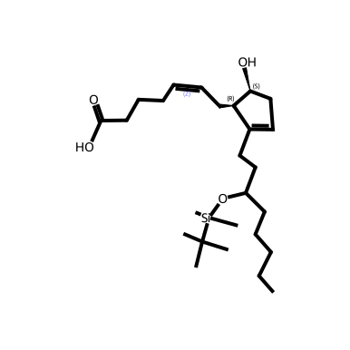 CCCCCC(CCC1=CC[C@H](O)[C@@H]1C/C=C\CCCC(=O)O)O[Si](C)(C)C(C)(C)C